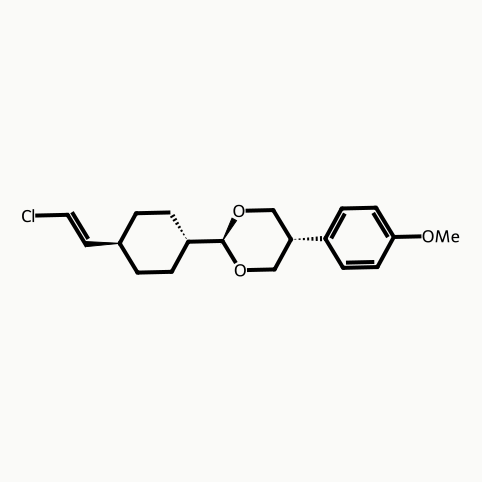 COc1ccc([C@H]2CO[C@H]([C@H]3CC[C@H](/C=C/Cl)CC3)OC2)cc1